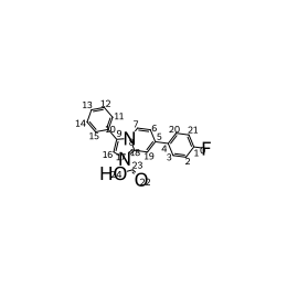 Fc1ccc(-c2ccn3c(-c4ccccc4)cnc3c2)cc1.O=CO